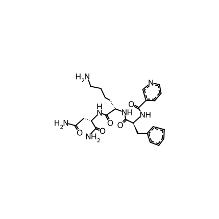 NCCCC[C@H](NC(=O)[C@H](Cc1ccccc1)NC(=O)c1cccnc1)C(=O)N[C@@H](CC(N)=O)C(N)=O